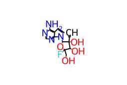 C#CC1(O)C(n2ccc3c(N)ncnc32)OC(F)(CO)C1O